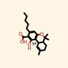 CCCCCc1cc2c(c(O)c1C(=O)O)[C@@H]1C=C(C)CCC1C(C)(C)O2